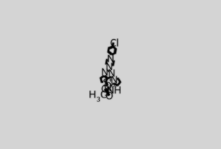 CS(=O)(=O)NC[C@@H]1CCCN1c1nc(N2CCN(c3ccc(Cl)cc3)CC2)nc2c1[S+]([O-])CC2